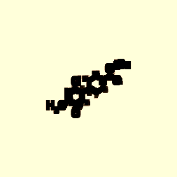 Cn1nc(Cl)c(C2=CCN(C(=O)OC(C)(C)C)CC2)cc1=O